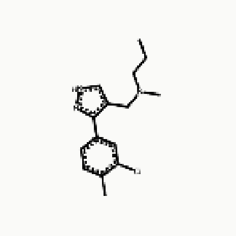 CCCN(C)Cc1c[nH]nc1-c1ccc(C)c(Cl)c1